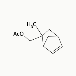 CC(=O)OCC1(C)CC2C=CC1C2